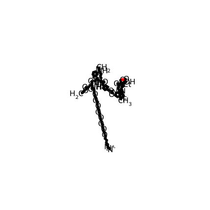 C=CCOC(=O)CCC(NC(=O)CCOCCOCCOCCOCCOCCOCCOCCOCCCCCN=[N+]=[N-])C(=O)N[C@@H](Cc1ccccc1)C(=O)N[C@@H](CCCCNN=C)C(=O)Nc1ccc(COC(=O)N[C@H]2CCc3c(C)c(F)cc4nc5c(c2c34)Cn2c-5cc3c(c2=O)COC(=O)[C@]3(O)CC)cc1